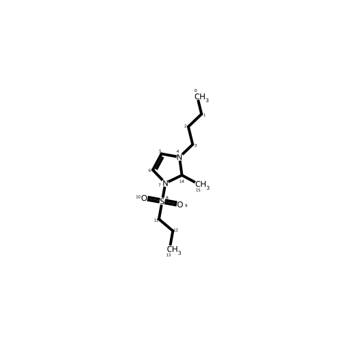 CCCCN1C=CN(S(=O)(=O)CCC)C1C